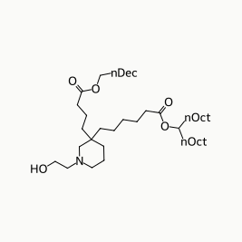 CCCCCCCCCCCOC(=O)CCCC1(CCCCCC(=O)OC(CCCCCCCC)CCCCCCCC)CCCN(CCO)C1